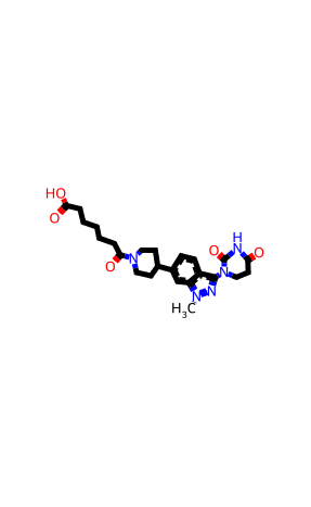 Cn1nc(N2CCC(=O)NC2=O)c2ccc(C3CCN(C(=O)CCCCCC(=O)O)CC3)cc21